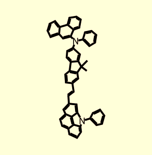 CC1(C)c2cc(/C=C/c3cc4ccc5cccc6c5c4c(c3)n6-c3ccccc3)ccc2-c2ccc(N(c3ccccc3)c3cc4ccccc4c4ccccc34)cc21